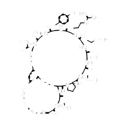 CC[C@@H](C)C1NC(=O)[C@H](Cc2ccc(O)cc2)NC(=O)[C@H](CCCNC(=N)N)NC(=O)[C@H](CCC(=O)O)NC(=O)[C@H](C)NC(=O)[C@H](CC(=O)O)NC(=O)[C@@H]2CCCN2C(=O)[C@@H]2CSCc3cc(cc(c3)OCCCCCCO/N=C/C(=O)N[C@@H](CO)C(=O)N2)CSC[C@@H](C(N)=O)NC1=O